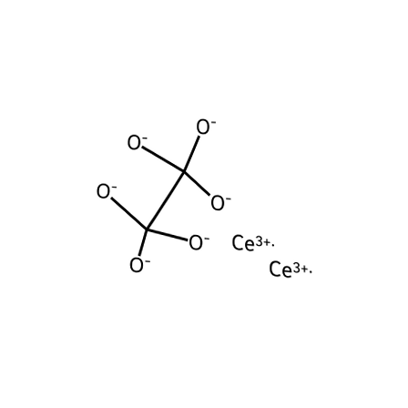 [Ce+3].[Ce+3].[O-]C([O-])([O-])C([O-])([O-])[O-]